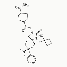 CN(C)[C@]1(c2ccccc2)CC[C@@]2(CC1)CN(CC(=O)N1CCC(C(N)=O)CC1)C(=O)N2CC1(O)CCC1